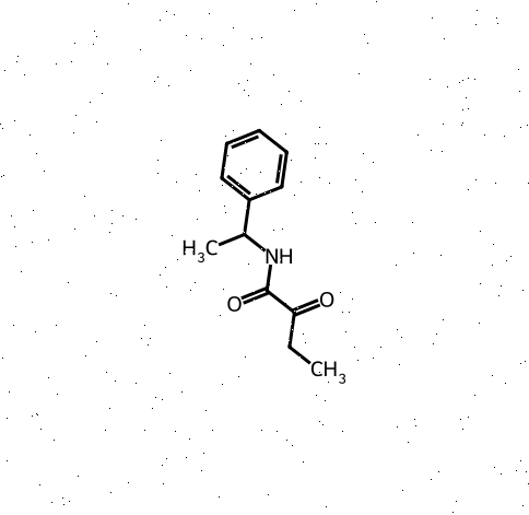 CCC(=O)C(=O)NC(C)c1ccccc1